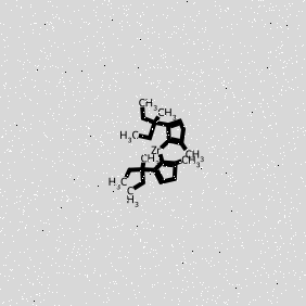 CCC(C)(CC)C1=CCC(C)=[C]1[Zr][C]1=C(C)CC=C1C(C)(CC)CC